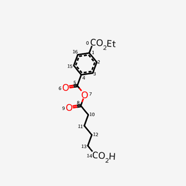 CCOC(=O)c1ccc(C(=O)OC(=O)CCCCC(=O)O)cc1